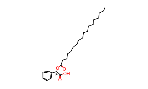 CCCCCCCCCCCCCCCCCC(=O)O[C@H](C(=O)O)c1ccccc1